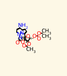 CC(=O)O[C@H]1[C@@H](OC(C)=O)[C@](C#N)(c2ccc3c(N)ccnn23)O[C@@H]1COC(=O)OC(C)C